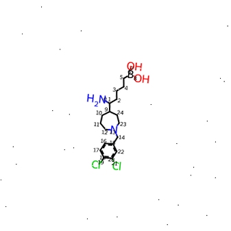 NC(CCCCB(O)O)C1CCCN(Cc2ccc(Cl)c(Cl)c2)CC1